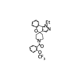 CCn1ncc2c1-c1ccccc1OC21CCN(C(=O)c2ccccc2OC(F)(F)F)CC1